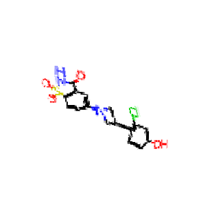 O=C1NS(=O)(=O)c2ccc(N3CC(c4ccc(O)cc4Cl)C3)cc21